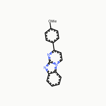 COc1ccc(-c2ccn3c(n2)nc2ccccc23)cc1